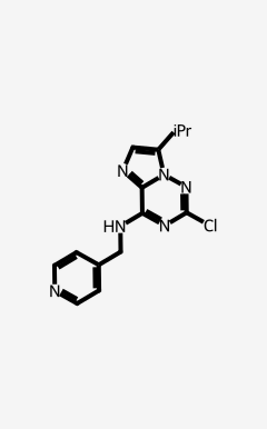 CC(C)c1cnc2c(NCc3ccncc3)nc(Cl)nn12